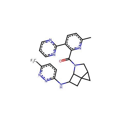 Cc1ccc(-c2ncccn2)c(C(=O)N2CC3CC34CC(Nc3ccc(C(F)(F)F)nn3)C24)n1